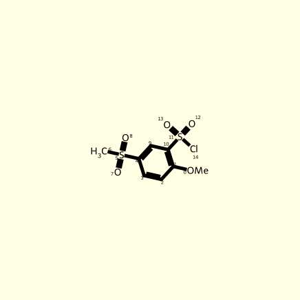 COc1ccc(S(C)(=O)=O)cc1S(=O)(=O)Cl